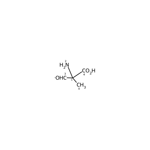 CC(N)([C]=O)C(=O)O